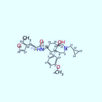 COc1cccc([C@@]23CCN(CC4CC4)C[C@@]2(O)CC[C@@H](NC(=O)/C=C/c2ccoc2C)C3)c1